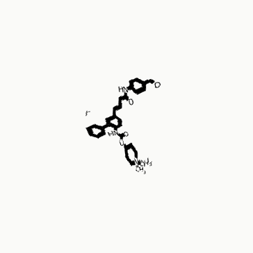 C[N+]1(C)CCC(OC(=O)Nc2ccc(CCCC(=O)Nc3ccc(C=O)cc3)cc2-c2ccccc2)CC1.[I-]